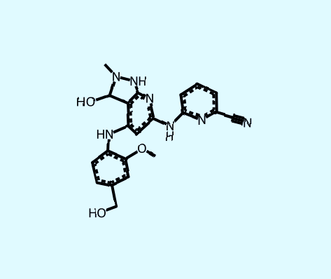 COc1cc(CO)ccc1Nc1cc(Nc2cccc(C#N)n2)nc2c1C(O)N(C)N2